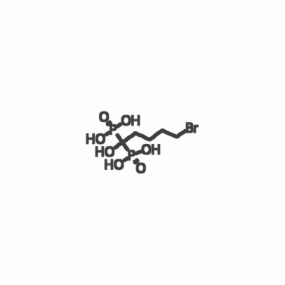 O=P(O)(O)C(O)(CCCCBr)P(=O)(O)O